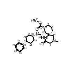 CN1CC(=O)N[C@]2(CCCN(C(=O)OC(C)(C)C)[C@H]2CO[C@H]2CC[C@@H](c3ccccc3)CC2)C1